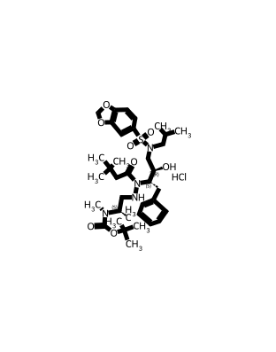 CC(C)CN(C[C@@H](O)[C@H](Cc1ccccc1)N(NC[C@H](C)N(C)C(=O)OC(C)(C)C)C(=O)CC(C)(C)C)S(=O)(=O)c1ccc2c(c1)OCO2.Cl